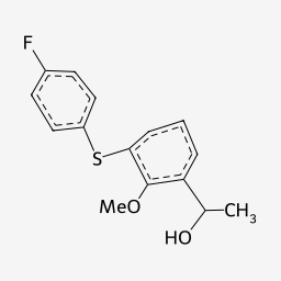 COc1c(Sc2ccc(F)cc2)cccc1C(C)O